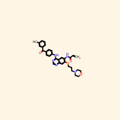 C=CC(=O)Nc1cc2c(Nc3ccc(C(=O)c4cccc(C#N)c4)cc3)ncnc2cc1OCCCN1CCOCC1